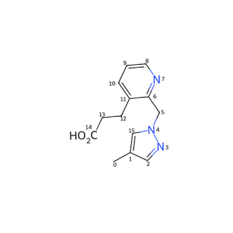 Cc1cnn(Cc2ncccc2CCC(=O)O)c1